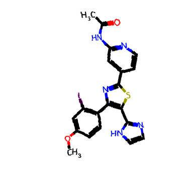 COc1ccc(-c2nc(-c3ccnc(NC(C)=O)c3)sc2-c2ncc[nH]2)c(I)c1